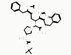 CC(C)(C)OC(=O)N[C@H]1CCN([C@H](C(=O)O)C(Cc2oc(=O)oc2Cc2ccccc2)c2ncn3c2CCc2ccccc2-3)C1